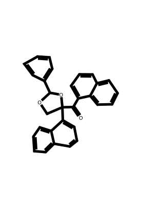 O=C(c1cccc2ccccc12)C1(c2cccc3ccccc23)COC(c2ccccc2)O1